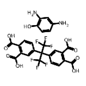 Nc1ccc(O)c(N)c1.O=C(O)c1ccc(C(c2ccc(C(=O)O)c(C(=O)O)c2)(C(F)(F)F)C(F)(F)F)cc1C(=O)O